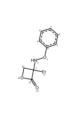 CCC1(NOc2ccccc2)COC1=O